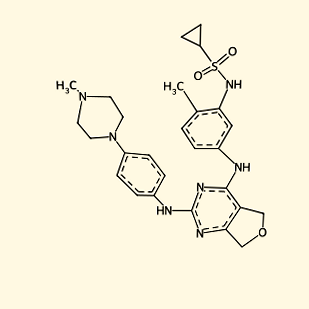 Cc1ccc(Nc2nc(Nc3ccc(N4CCN(C)CC4)cc3)nc3c2COC3)cc1NS(=O)(=O)C1CC1